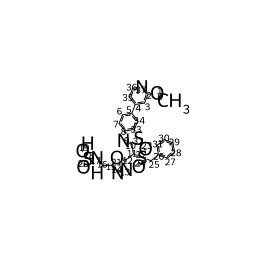 COc1cc(-c2ccc3nc(C(c4nnc(CN[SH](=O)=O)o4)S(=O)(=O)Cc4ccccc4)sc3c2)ccn1